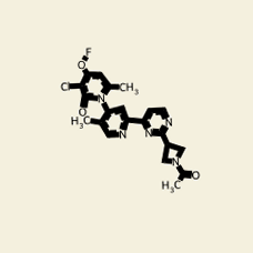 CC(=O)N1CC(c2nccc(-c3cc(-n4c(C)cc(OF)c(Cl)c4=O)c(C)cn3)n2)C1